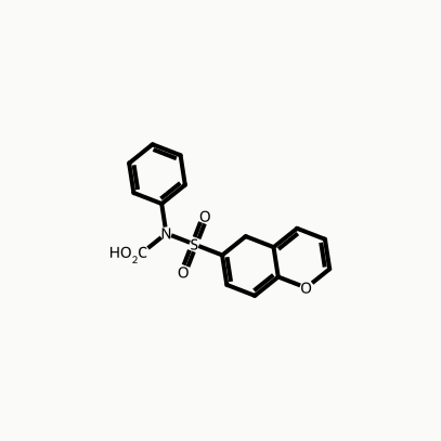 O=C(O)N(c1ccccc1)S(=O)(=O)C1=CC=C2OC=CC=C2C1